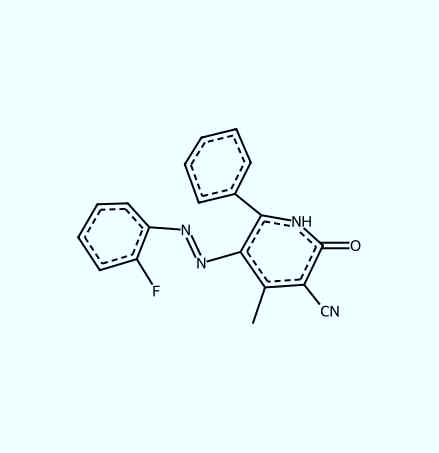 Cc1c(N=Nc2ccccc2F)c(-c2ccccc2)[nH]c(=O)c1C#N